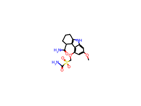 COc1cc(OCS(=O)(=O)C(N)=O)c2c3c([nH]c2c1)CCCC3C(N)=O